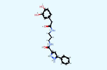 O=C(Cc1ccc(O)c(O)c1)NCCCNC(=O)c1cc(-c2ccccc2)[nH]n1